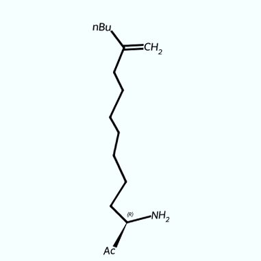 C=C(CCCC)CCCCCCC[C@@H](N)C(C)=O